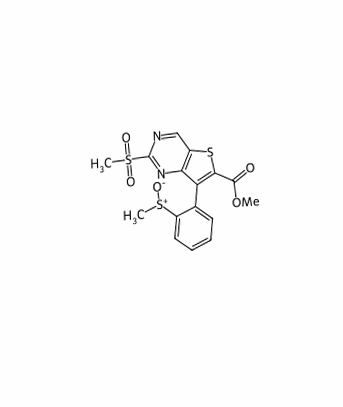 COC(=O)c1sc2cnc(S(C)(=O)=O)nc2c1-c1ccccc1[S+](C)[O-]